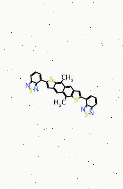 Cc1c2cc3cc(-c4cccc5nsnc45)sc3c(C)c2cc2cc(-c3cccc4nsnc34)sc12